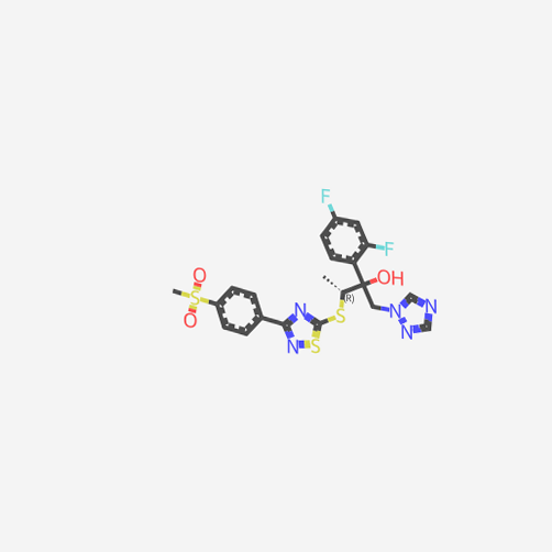 C[C@@H](Sc1nc(-c2ccc(S(C)(=O)=O)cc2)ns1)C(O)(Cn1cncn1)c1ccc(F)cc1F